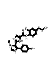 COn1cnc(-c2ccc(F)cc2)c1-c1ncc(C(=O)Nc2ccc(CCO)cc2F)[nH]1